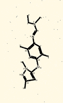 CCN(C)C=Nc1cc(C)c(Oc2cc(C)nn2C)cc1C